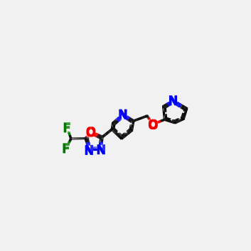 FC(F)c1nnc(-c2ccc(COc3cccnc3)nc2)o1